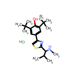 CNC(c1nc(-c2cc(C(C)(C)C)c(O)c(C(C)(C)C)c2)cs1)C(C)C.Cl